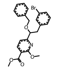 COC(=O)c1ccc(C(Cc2cccc(Br)c2)OCc2ccccc2)nc1OC